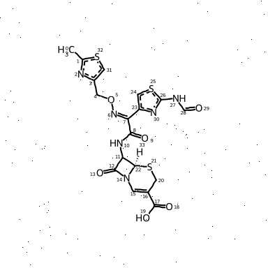 Cc1nc(CON=C(C(=O)NC2C(=O)N3C=C(C(=O)O)CS[C@H]23)c2csc(NC=O)n2)cs1